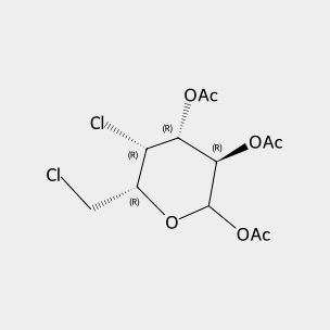 CC(=O)OC1O[C@H](CCl)[C@H](Cl)[C@H](OC(C)=O)[C@H]1OC(C)=O